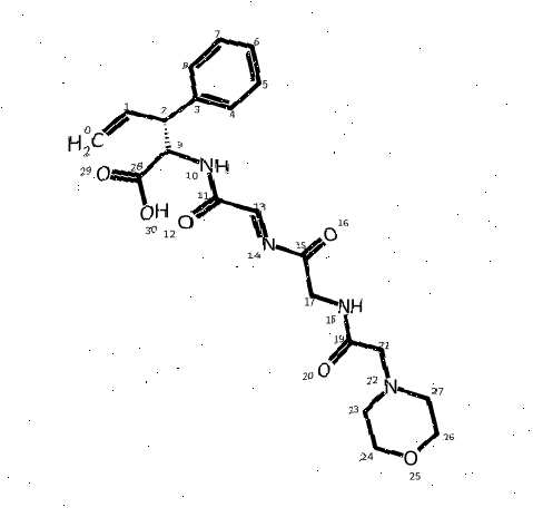 C=C[C@H](c1ccccc1)C(NC(=O)/C=N/C(=O)CNC(=O)CN1CCOCC1)C(=O)O